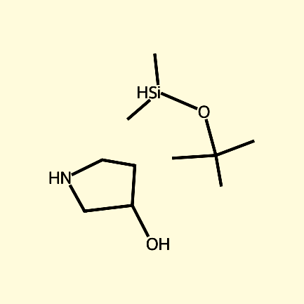 C[SiH](C)OC(C)(C)C.OC1CCNC1